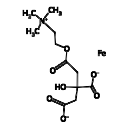 C[N+](C)(C)CCOC(=O)CC(O)(CC(=O)[O-])C(=O)[O-].[Fe]